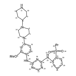 COc1cc(N2CCN(C3CCNCC3)CC2)ccc1Nc1ncnc(Nc2ccccc2S(=O)(=O)C(C)C)n1